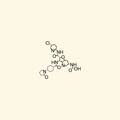 O=C(O)Nc1cnc2c(NC(=O)[C@H]3CC[C@H](N4CCCC4=O)CC3)c(C(=O)Nc3ccc(Cl)cn3)oc2c1